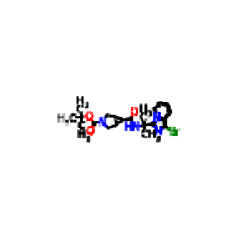 CC(C)(C)OC(=O)N1CC2C(C1)C2C(=O)NC(C)(C)c1nc(Br)c2ccccn12